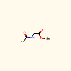 CC(C)C(=O)NCC(=O)OC(C)(C)C